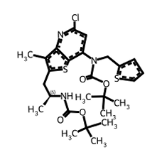 Cc1c(C[C@H](C)NC(=O)OC(C)(C)C)sc2c(N(Cc3cccs3)C(=O)OC(C)(C)C)cc(Cl)nc12